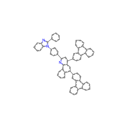 c1ccc(-c2nc3ccccc3n2-c2ccc(-c3cc(-c4ccc5c6ccccc6c6ccccc6c5c4)c4cc(-c5ccc6c7ccccc7c7ccccc7c6c5)c5ccccc5c4n3)cc2)cc1